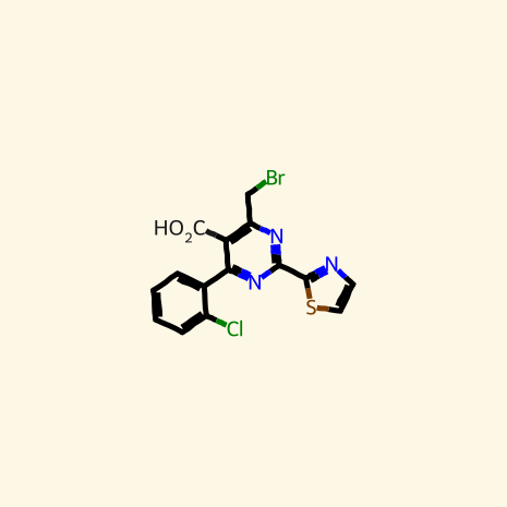 O=C(O)c1c(CBr)nc(-c2nccs2)nc1-c1ccccc1Cl